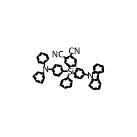 N#Cc1ccc([Si](c2ccccc2)(c2ccc(N(c3ccccc3)c3ccccc3)cc2)c2ccc(-n3c4ccccc4c4ccccc43)cc2)cc1C#N